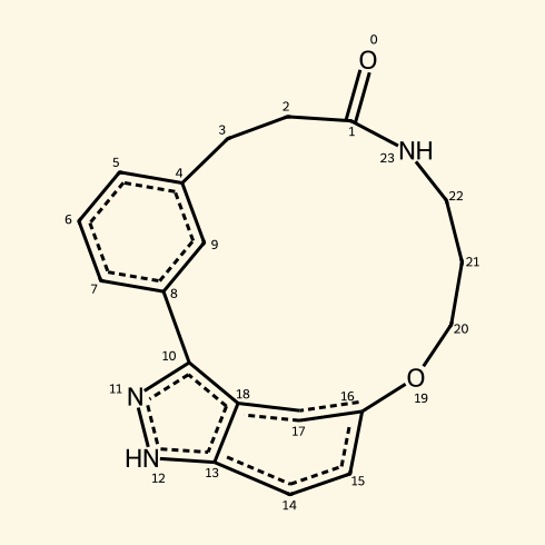 O=C1CCc2cccc(c2)-c2n[nH]c3ccc(cc23)OCCCN1